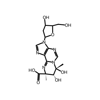 C[C@]1(C(=O)O)N=C2c3ncn(C4CC(O)C(CO)O4)c3N=CN2[C@](C)(O)[C@@H]1O